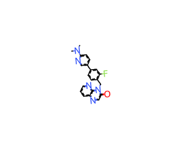 CN(C)c1ccc(-c2ccc(Cn3c(=O)cnc4cccnc43)c(F)c2)cn1